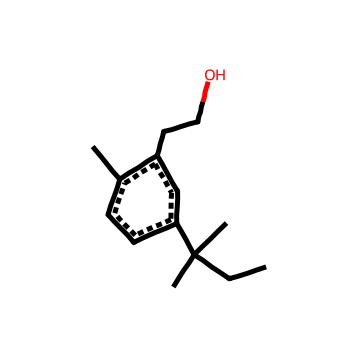 CCC(C)(C)c1ccc(C)c(CCO)c1